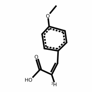 [2H]C(=Cc1ccc(OC)cc1)C(=O)O